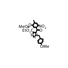 CCOC(=O)c1nnn(Cc2ccc(OC)cc2)c1C(=O)c1cc(OCOC)c(C)cc1[N+](=O)[O-]